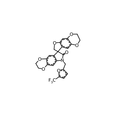 O=C1N(Cc2ccc(C(F)(F)F)o2)c2cc3c(cc2C12COc1cc4c(cc12)OCCO4)OCCO3